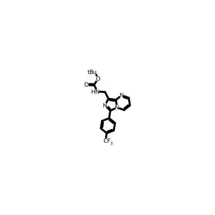 CC(C)(C)OC(=O)NCc1nc(-c2ccc(C(F)(F)F)cc2)n2cccnc12